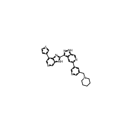 c1cc(-c2cncc3[nH]c(-c4n[nH]c5cnc(-c6cncc(CN7CCCCC7)c6)cc45)nc23)cs1